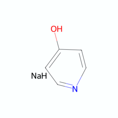 Oc1ccncc1.[NaH]